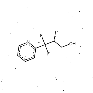 CC(CO)C(F)(F)c1ccccn1